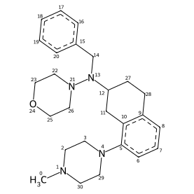 CN1CCN(c2cccc3c2CC(N(Cc2ccccc2)N2CCOCC2)CC3)CC1